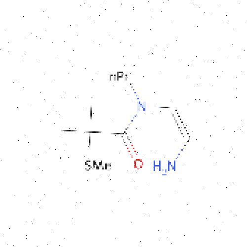 CCCN(/C=C\N)C(=O)C(C)(C)SC